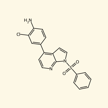 Nc1ccc(-c2ccnc3c2ccn3S(=O)(=O)c2ccccc2)cc1Cl